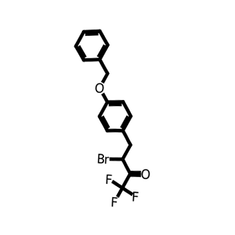 O=C(C(Br)Cc1ccc(OCc2ccccc2)cc1)C(F)(F)F